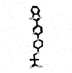 CC(C)(COC1CCN(c2ccc(-c3nc4ccccc4[nH]3)cn2)CC1)C(=O)O